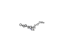 COCCOCCOCCNC(=O)/C(C#N)=C\c1ccc(-c2ccc3cc(N4CCCCC4)ccc3c2)n1C